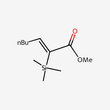 CCCCC=C(C(=O)OC)[Si](C)(C)C